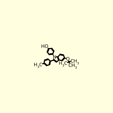 Cc1ccc(-c2cc3cc(OC(C)(C)C)ccc3n2-c2ccc(O)cc2)cc1